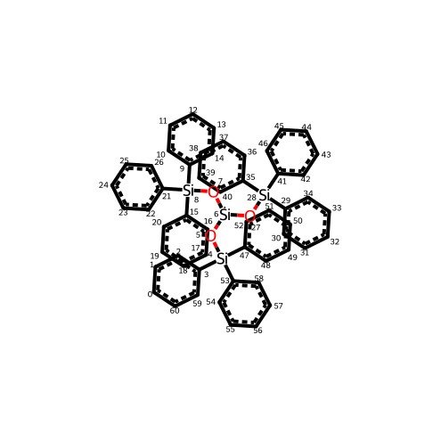 c1ccc([Si](O[Si](O[Si](c2ccccc2)(c2ccccc2)c2ccccc2)O[Si](c2ccccc2)(c2ccccc2)c2ccccc2)(c2ccccc2)c2ccccc2)cc1